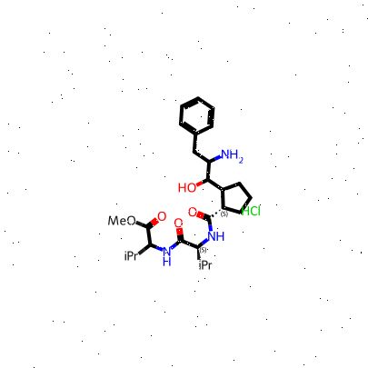 COC(=O)C(NC(=O)[C@@H](NC(=O)[C@H]1CCCC1C(O)C(N)Cc1ccccc1)C(C)C)C(C)C.Cl